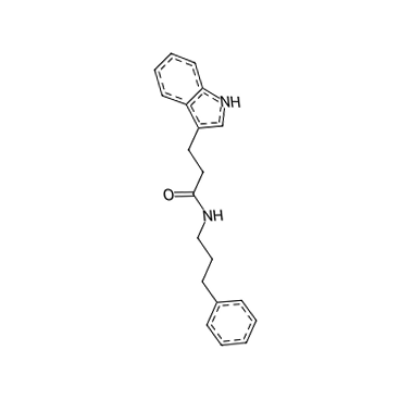 O=C(CCc1c[nH]c2ccccc12)NCCCc1ccccc1